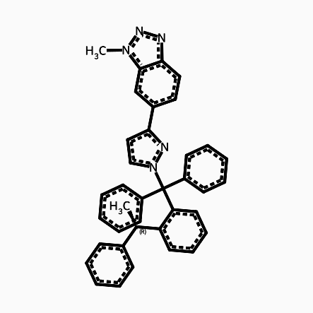 C[C@H](c1ccccc1)c1ccccc1C(c1ccccc1)(c1ccccc1)n1ccc(-c2ccc3nnn(C)c3c2)n1